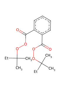 CCC(C)(C)OOC(=O)c1ccccc1C(=O)OOC(C)(C)CC